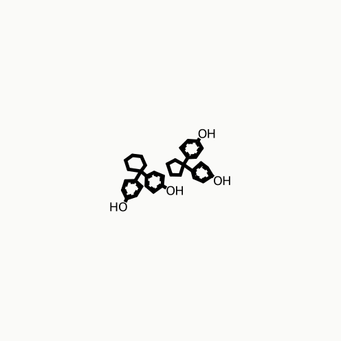 Oc1ccc(C2(c3ccc(O)cc3)CCCC2)cc1.Oc1ccc(C2(c3ccc(O)cc3)CCCCC2)cc1